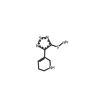 CCCSc1nsnc1C1=CCCNC1